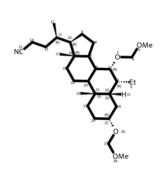 CC[C@H]1[C@@H](OCOC)C2C3CC[C@H]([C@H](C)CCC#N)[C@@]3(C)CCC2[C@@]2(C)CC[C@@H](OCOC)C[C@@H]12